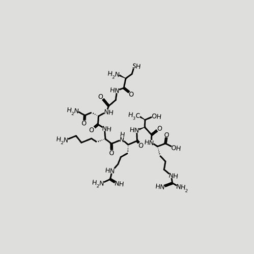 C[C@@H](O)[C@H](NC(=O)[C@H](CCCNC(=N)N)NC(=O)[C@H](CCCCN)NC(=O)[C@H](CC(N)=O)NC(=O)CNC(=O)[C@@H](N)CS)C(=O)N[C@@H](CCCNC(=N)N)C(=O)O